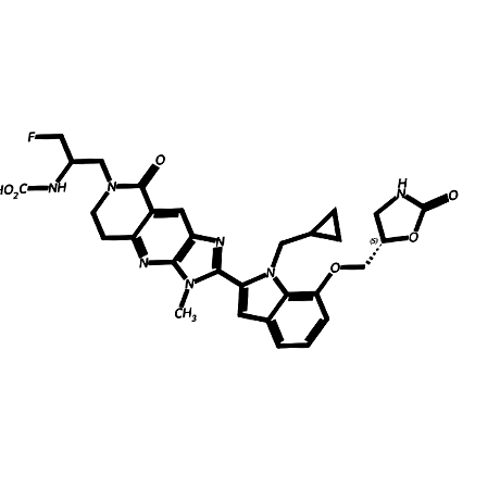 Cn1c(-c2cc3cccc(OC[C@@H]4CNC(=O)O4)c3n2CC2CC2)nc2cc3c(nc21)CCN(CC(CF)NC(=O)O)C3=O